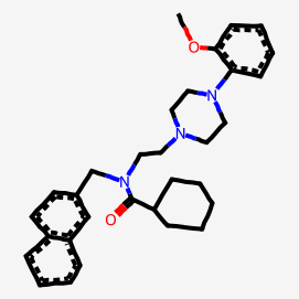 COc1ccccc1N1CCN(CCN(Cc2ccc3ccccc3c2)C(=O)C2CCCCC2)CC1